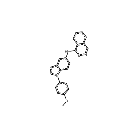 COc1ccc(-n2cnc3cc(Nc4nncc5ccccc45)ccc32)cc1